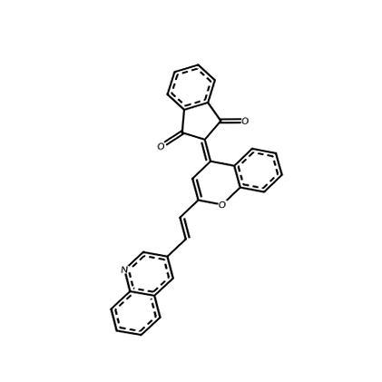 O=C1C(=C2C=C(/C=C/c3cnc4ccccc4c3)Oc3ccccc32)C(=O)c2ccccc21